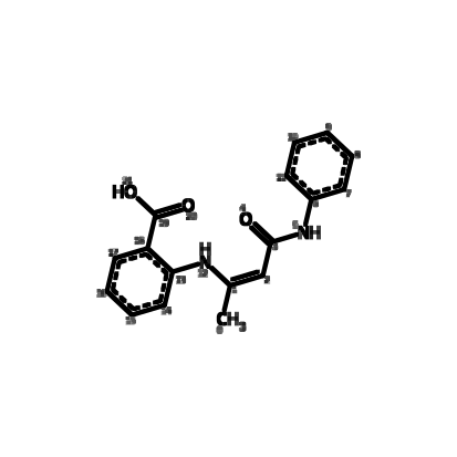 CC(=CC(=O)Nc1ccccc1)Nc1ccccc1C(=O)O